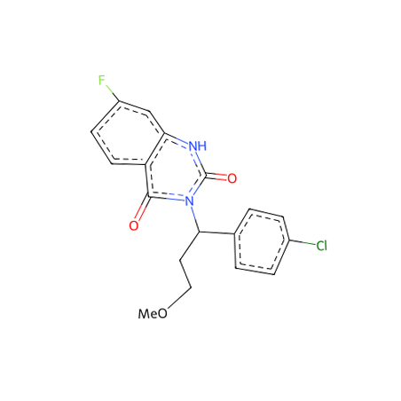 COCCC(c1ccc(Cl)cc1)n1c(=O)[nH]c2cc(F)ccc2c1=O